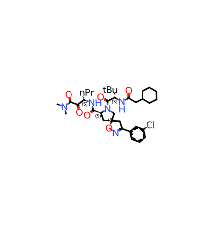 CCC[C@H](NC(=O)[C@@H]1C[C@]2(CC(c3cccc(Cl)c3)=NO2)CN1C(=O)[C@@H](NC(=O)CC1CCCCC1)C(C)(C)C)C(=O)C(=O)N(C)C